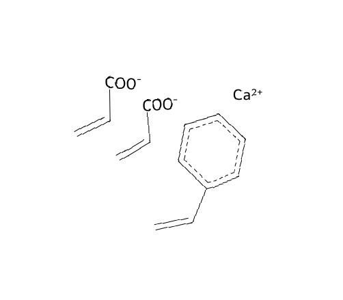 C=CC(=O)[O-].C=CC(=O)[O-].C=Cc1ccccc1.[Ca+2]